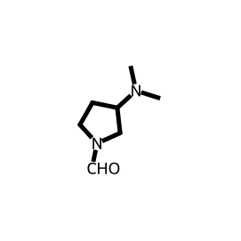 CN(C)C1CCN(C=O)C1